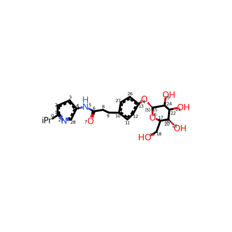 CC(C)c1ccc(NC(=O)CCc2ccc(O[C@@H]3OC(CO)[C@H](O)C(O)C3O)cc2)cn1